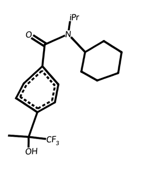 CC(C)N(C(=O)c1ccc(C(C)(O)C(F)(F)F)cc1)C1CCCCC1